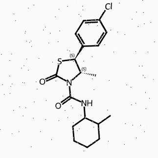 CC1CCCCC1NC(=O)N1C(=O)S[C@@H](c2ccc(Cl)cc2)[C@@H]1C